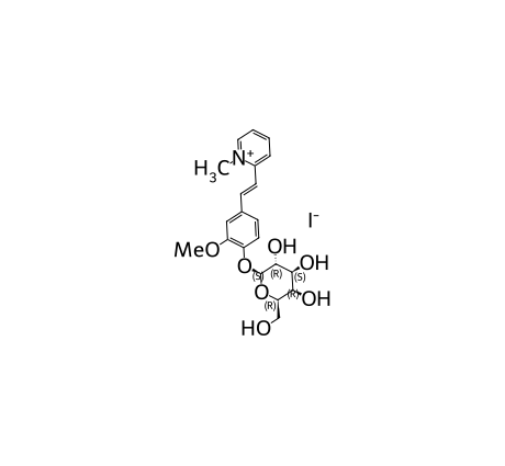 COc1cc(C=Cc2cccc[n+]2C)ccc1O[C@@H]1O[C@H](CO)[C@H](O)[C@H](O)[C@H]1O.[I-]